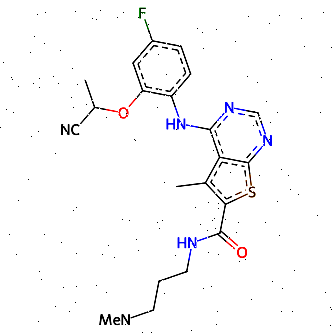 CNCCCNC(=O)c1sc2ncnc(Nc3ccc(F)cc3OC(C)C#N)c2c1C